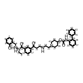 CCN(NCc1ccccc1O)C(=O)c1cccc(C(=O)CCNCCN2CCC(OC(=O)Nc3ccccc3-c3ccccc3)CC2)c1